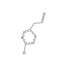 O=CCc1ccc(Cl)nc1